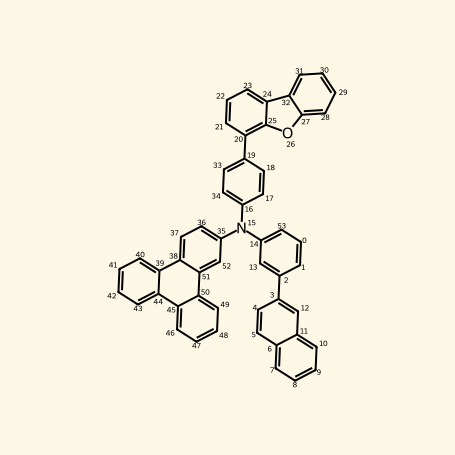 c1cc(-c2ccc3ccccc3c2)cc(N(c2ccc(-c3cccc4c3oc3ccccc34)cc2)c2ccc3c4ccccc4c4ccccc4c3c2)c1